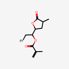 C=C(C)C(=O)OC(CC(C)C)C1CC(C)C(=O)O1